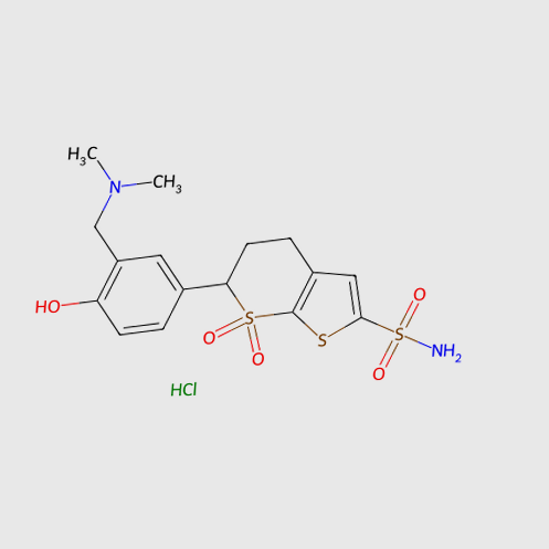 CN(C)Cc1cc(C2CCc3cc(S(N)(=O)=O)sc3S2(=O)=O)ccc1O.Cl